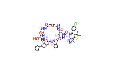 Cc1sc2c(c1C)C(c1ccc(Cl)cc1)=N[C@@H](CC(=O)NC[C@H]1NC(=O)[C@@H](Cc3ccccc3)NC(=O)[C@@H](Cc3ccc(-c4ccccc4)cc3)NC(=O)[C@@H]3C[C@@H](O)CN3C(=O)[C@H](C(C)(C)C)NC(=O)COCCNC1=O)c1nnc(C)n1-2